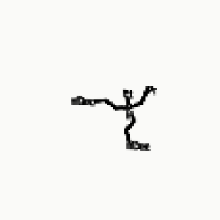 CCCCCCCCCCCC[PH](CC)(CCCCCCCCCCCC)CC(C)C